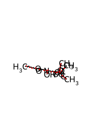 CCCCCCCCCCCOC(=O)CCCCCN(CCO)CCCCCCCC(=O)OCC(COCCCCCC)(COCCCCCC)COCCCCCC